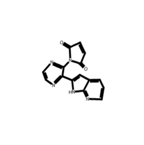 O=C1C=CC(=O)N1c1nccnc1-c1cc2cccnc2[nH]1